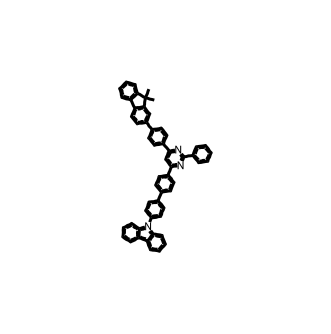 CC1(C)c2ccccc2-c2ccc(-c3ccc(-c4cc(-c5ccc(-c6ccc(-n7c8ccccc8c8ccccc87)cc6)cc5)nc(-c5ccccc5)n4)cc3)cc21